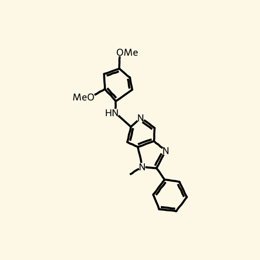 COc1ccc(Nc2cc3c(cn2)nc(-c2ccccc2)n3C)c(OC)c1